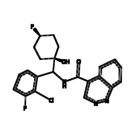 O=C(NC(c1cccc(F)c1Cl)[C@]1(O)CC[C@@H](F)CC1)c1cnnc2ccccc12